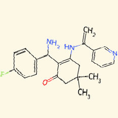 C=C(NC1=C(C(N)c2ccc(F)cc2)C(=O)CC(C)(C)C1)c1cccnc1